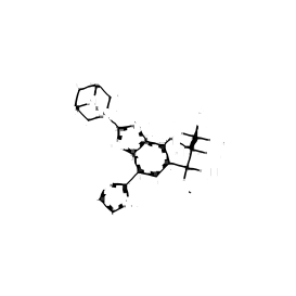 COC(C)(c1cc(-c2nccs2)c2oc(N3CC4CC(C3)N4F)nc2c1OC(F)(F)F)C(F)(F)F